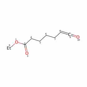 CCOC(=O)CCCCC=C=O